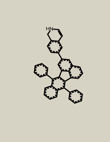 C1=Cc2cc(-c3cc4c5c(cccc5c3)-c3c-4c(-c4ccccc4)c4ccccc4c3-c3ccccc3)ccc2CN1